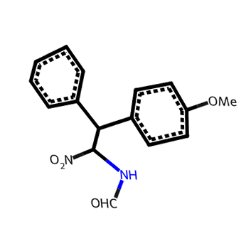 COc1ccc(C(c2ccccc2)C(NC=O)[N+](=O)[O-])cc1